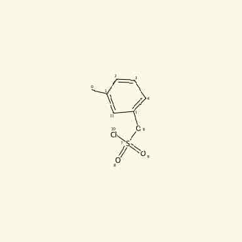 Cc1cccc(OS(=O)(=O)Cl)c1